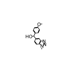 COc1ccc(C(O)c2ccc3c(c2)nnn3C)cc1